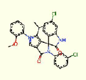 COc1ccccc1-n1cc2c(c1C(C)C)C1(C(=O)Nc3cc(Cl)ccc31)N(c1cccc(Cl)c1)C2=O